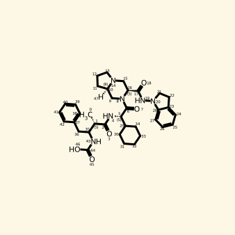 C[C@H](C(=O)N[C@H](C(=O)N1C[C@H]2CCCN2C[C@H]1C(=O)NN1CCc2ccccc21)C1CCCCC1)C(Cc1ccccc1)NC(=O)O